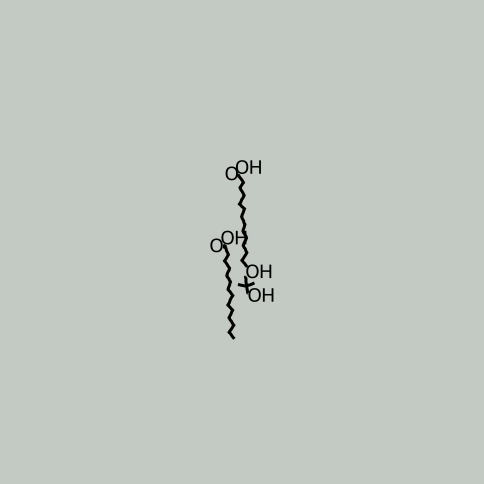 CC(C)(CO)CO.CCCCCCCCCCCCCC(=O)O.CCCCCCCCCCCCCC(=O)O